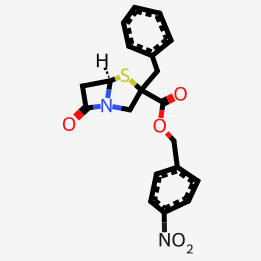 O=C1C[C@H]2SC(Cc3ccccc3)(C(=O)OCc3ccc([N+](=O)[O-])cc3)CN12